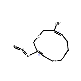 [N-]=[N+]=N/C1=C/CCCC/C=C(/O)CCC1